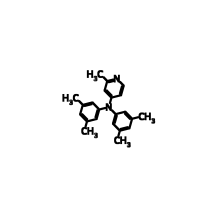 Cc1cc(C)cc(N(c2cc(C)cc(C)c2)c2ccnc(C)c2)c1